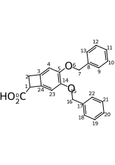 O=C(O)C1Cc2cc(OCc3ccccc3)c(OCc3ccccc3)cc21